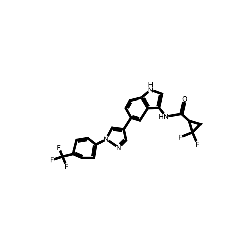 O=C(Nc1c[nH]c2ccc(-c3cnn(-c4ccc(C(F)(F)F)cc4)c3)cc12)C1CC1(F)F